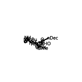 CCCCCCCCCCCCCCCC(=O)OC[C@H](CSCC(NC(=S)NCc1ccc(Cn2c(CCCC)nc3c(N)nc4ccccc4c32)cc1)C(=O)N[C@@H](CO)C(=O)OC)OC=O